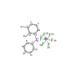 Cc1cccc([I+]c2ccccc2)c1C.F[P-](F)(F)(F)(F)F